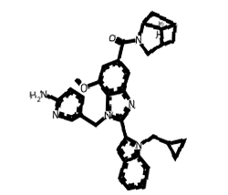 COc1cc(C(=O)N2CC3CC4CC2[C@H]43)cc2nc(-c3cc4ccccc4n3CC3CC3)n(Cc3ccc(N)nc3)c12